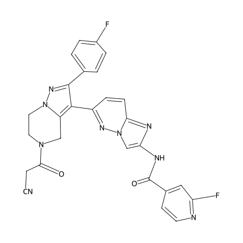 N#CCC(=O)N1CCn2nc(-c3ccc(F)cc3)c(-c3ccc4nc(NC(=O)c5ccnc(F)c5)cn4n3)c2C1